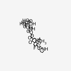 COc1c(N2CC3CCCNC3C2)c(F)cc2c(=O)c(C(=O)OCOC(=O)NCCC(O)(P(=O)(O)O)P(=O)(O)O)cn(C3CC3)c12